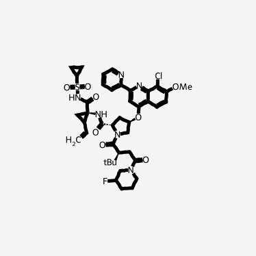 C=CC1C[C@]1(NC(=O)[C@@H]1C[C@@H](Oc2cc(-c3ccccn3)nc3c(Cl)c(OC)ccc23)CN1C(=O)[C@@H](CC(=O)N1CCCC(F)C1)C(C)(C)C)C(=O)NS(=O)(=O)C1CC1